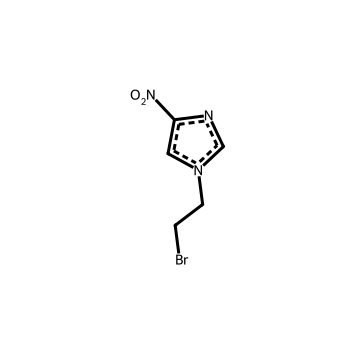 O=[N+]([O-])c1cn(CCBr)cn1